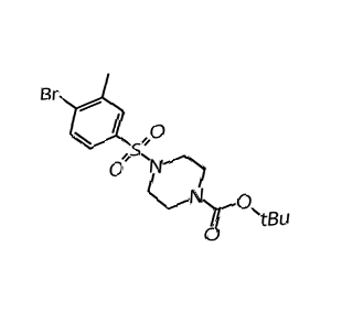 Cc1cc(S(=O)(=O)N2CCN(C(=O)OC(C)(C)C)CC2)ccc1Br